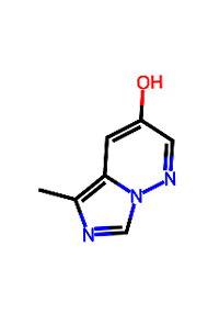 Cc1ncn2ncc(O)cc12